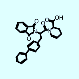 O=C(O)C1CCC=CN1C(=O)C(Cc1ccc(-c2ccccc2)cc1)N1C(=O)c2ccccc2C1=O